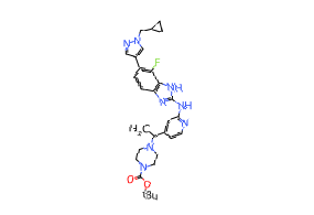 CC(c1ccnc(Nc2nc3ccc(-c4cnn(CC5CC5)c4)c(F)c3[nH]2)c1)N1CCN(C(=O)OC(C)(C)C)CC1